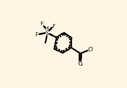 C[SH](F)(F)(F)c1ccc(C(=O)Cl)cc1